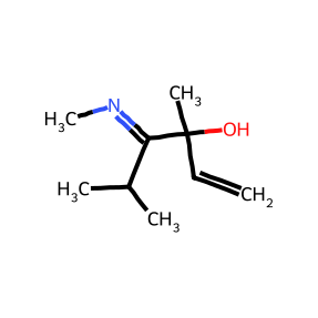 C=CC(C)(O)/C(=N/C)C(C)C